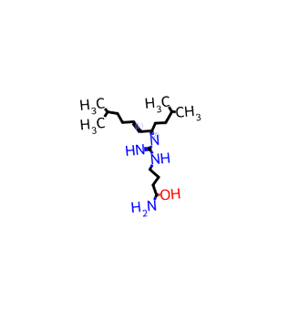 CC(C)CC/C=C/C(CCC(C)C)=N\C(=N)NCCCC(N)O